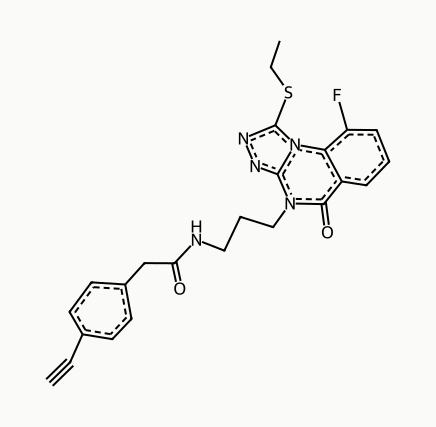 C#Cc1ccc(CC(=O)NCCCn2c(=O)c3cccc(F)c3n3c(SCC)nnc23)cc1